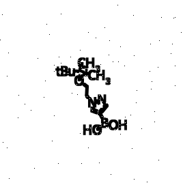 CC(C)(C)[Si](C)(C)OCCn1cc(B(O)O)cn1